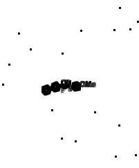 COc1ccc(SC(=O)[C@@H](F)[C@@H](O)c2ccc(-c3ccccc3)cc2)cc1